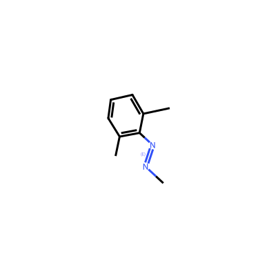 C/N=N/c1c(C)cccc1C